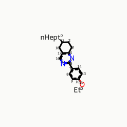 CCCCCCCC1CCc2nc(-c3ccc(OCC)cc3)ncc2C1